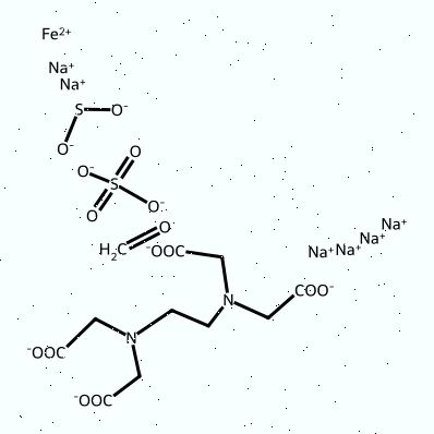 C=O.O=C([O-])CN(CCN(CC(=O)[O-])CC(=O)[O-])CC(=O)[O-].O=S(=O)([O-])[O-].[Fe+2].[Na+].[Na+].[Na+].[Na+].[Na+].[Na+].[O-]S[O-]